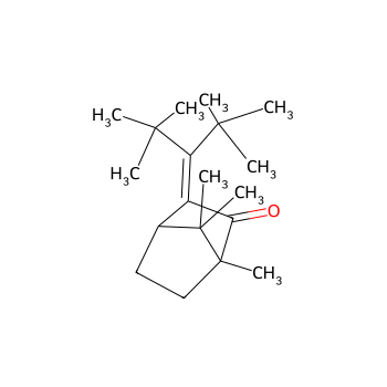 CC(C)(C)C(=C1C(=O)C2(C)CCC1C2(C)C)C(C)(C)C